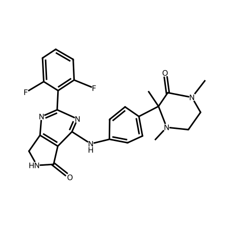 CN1CCN(C)C(C)(c2ccc(Nc3nc(-c4c(F)cccc4F)nc4c3C(=O)NC4)cc2)C1=O